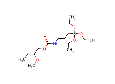 CCO[Si](CCCNC(=O)OCC(CC)OC)(OCC)OCC